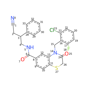 N#CCC(CNC(=O)c1ccc2c(c1)N(Cc1c(F)cccc1Cl)C(=O)CS2)c1ccccc1